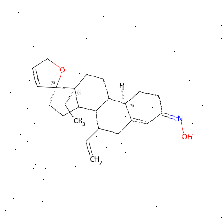 C=CC1CC2=CC(=NO)CC[C@@H]2C2CC[C@@]3(CC)C(CC[C@@]34C=CCO4)C12